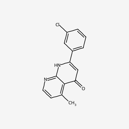 Cc1ccnc2[nH]c(-c3cccc(Cl)c3)cc(=O)c12